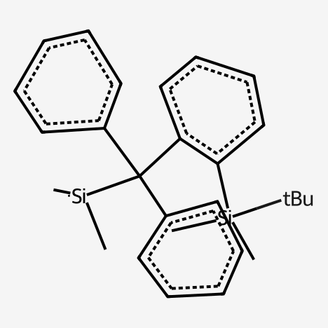 C[Si](C)C(c1ccccc1)(c1ccccc1)c1ccccc1[Si](C)(C)C(C)(C)C